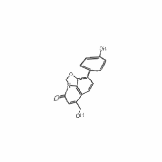 O=c1cc(CO)c2ccc(-c3ccc(O)cc3)c3c2n1CO3